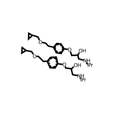 CC(C)NCC(O)COc1ccc(CCOCC2CC2)cc1.CC(C)NCC(O)COc1ccc(CCOCC2CC2)cc1